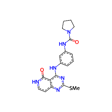 CSc1nc(Nc2cccc(NC(=O)N3CCCC3)c2)c2c(=O)[nH]ccc2n1